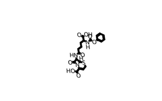 O=C(CCCC(NC(=O)Oc1ccccc1)C(=O)O)NC1C(=O)N2C(C(=O)O)=CCS[C@@H]12